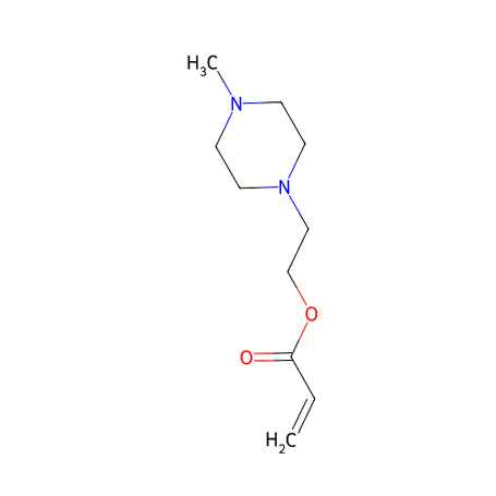 C=CC(=O)OCCN1CCN(C)CC1